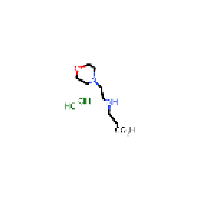 Cl.Cl.O=C(O)CCNCCN1CCOCC1